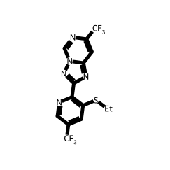 CCSc1cc(C(F)(F)F)cnc1-c1nc2cc(C(F)(F)F)ncn2n1